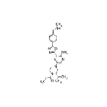 CCC(=O)N1CCN(c2cnc(N)c(-c3nnc(-c4ccc(CNC)cc4)o3)n2)CC1C(C)C